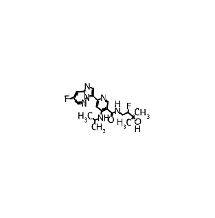 CC(C)Nc1cc(-c2cnc3cc(F)cnn23)ncc1C(=O)NCC(F)C(C)(C)O